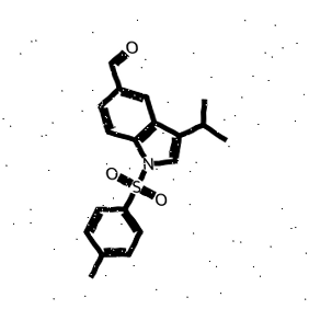 Cc1ccc(S(=O)(=O)n2cc(C(C)C)c3cc(C=O)ccc32)cc1